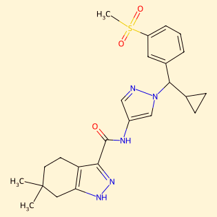 CC1(C)CCc2c(C(=O)Nc3cnn(C(c4cccc(S(C)(=O)=O)c4)C4CC4)c3)n[nH]c2C1